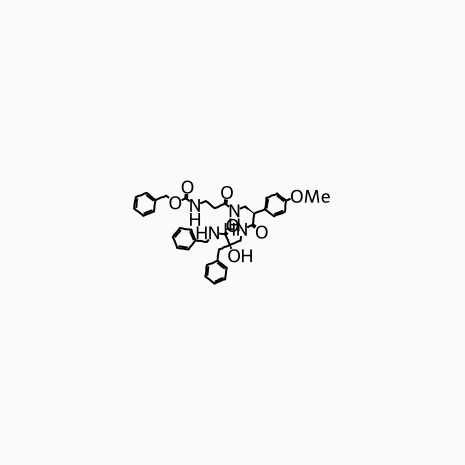 COc1ccc([C@H](CNC(=O)CCNC(=O)OCc2ccccc2)C(=O)NC[C@](O)(Cc2ccccc2)C(=O)NCc2ccccc2)cc1